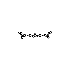 C(=C\c1ccc2c(c1)c1ccccc1n2-c1ccc2ccccc2c1)/c1ccc(-c2ccc3c(c2)C2(CCCC2)c2cc(-c4ccc(/C=C/c5ccc6c(c5)c5ccccc5n6-c5ccc6ccccc6c5)cc4)ccc2-3)cc1